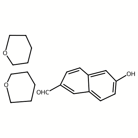 C1CCOCC1.C1CCOCC1.O=Cc1ccc2cc(O)ccc2c1